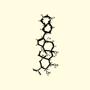 CN(C)[C@H]1C[C@@]23CC[C@]4(O2)C2CC=C(c5ccc6ncncc6c5)[C@@]2(C)CCC4(O)CC3[C@@H](O)[C@@H]1O